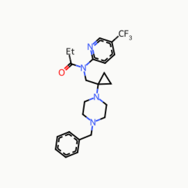 CCC(=O)N(CC1(N2CCN(Cc3ccccc3)CC2)CC1)c1ccc(C(F)(F)F)cn1